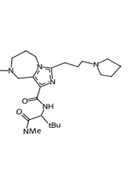 CNC(=O)C(NC(=O)c1nc(CCCN2CCCC2)n2c1CN(C)CCC2)C(C)(C)C